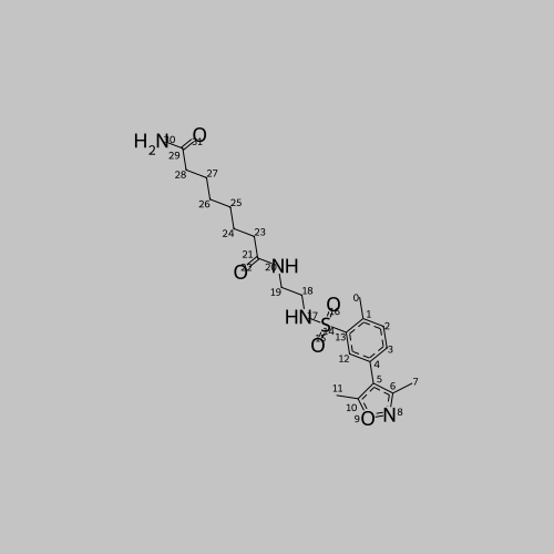 Cc1ccc(-c2c(C)noc2C)cc1S(=O)(=O)NCCNC(=O)CCCCCCC(N)=O